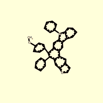 COc1ccc(-c2c(-c3ccccc3)c3cc4occc4cc3c3cc4c5ccccc5n(-c5ccccc5)c4cc23)cc1